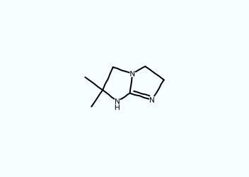 CC1(C)CN2CCN=C2N1